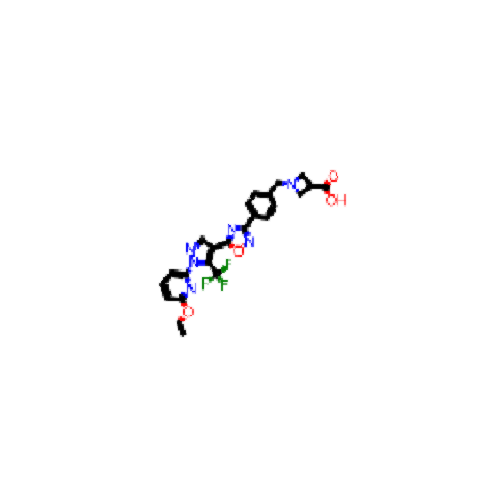 CCOc1cccc(-n2ncc(-c3nc(-c4ccc(CN5CC(C(=O)O)C5)cc4)no3)c2C(F)(F)F)n1